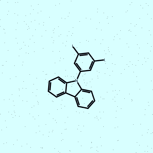 Ic1cc(I)cc(-n2c3ccccc3c3ccccc32)c1